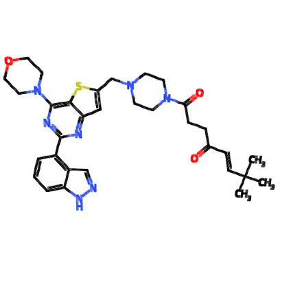 CC(C)(C)/C=C/C(=O)CCC(=O)N1CCN(Cc2cc3nc(-c4cccc5[nH]ncc45)nc(N4CCOCC4)c3s2)CC1